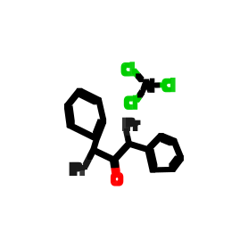 CC(C)C(C(=O)C(c1ccccc1)C(C)C)c1ccccc1.[Cl][Al]([Cl])[Cl]